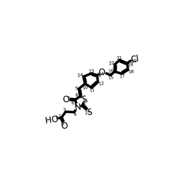 O=C(O)CCN1C(=O)/C(=C/c2ccc(OCc3ccc(Cl)cc3)cc2)SC1=S